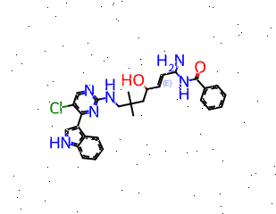 CC(C)(CNc1ncc(Cl)c(-c2c[nH]c3ccccc23)n1)CC(O)/C=C/C(N)NC(=O)c1ccccc1